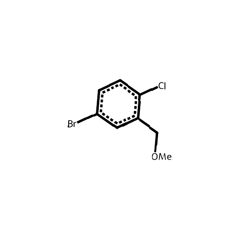 COCc1cc(Br)ccc1Cl